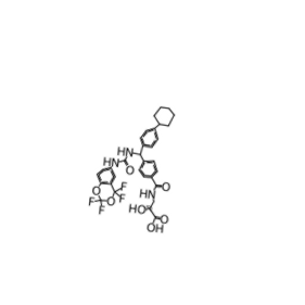 O=C(Nc1ccc2c(c1)C(F)(F)OC(F)(F)O2)NC(c1ccc(C(=O)NC[C@@H](O)C(=O)O)cc1)c1ccc(C2CCCCC2)cc1